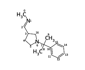 CN=CC1CCN(C(C)(C)c2ccccc2)C1